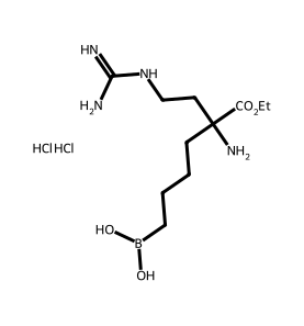 CCOC(=O)C(N)(CCCCB(O)O)CCNC(=N)N.Cl.Cl